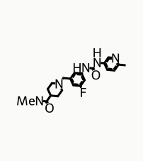 CNC(=O)C1CCN(Cc2cc(F)cc(NC(=O)Nc3ccc(C)nc3)c2)CC1